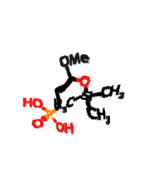 COC(=CCP(=O)(O)O)O[Si](C)(C)C